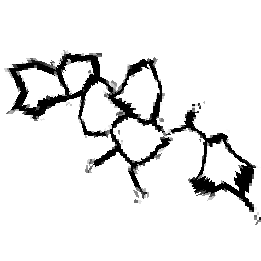 CCCC1CN(C(=O)c2ccc(C(C)=O)cc2)c2ccccc2N(Cc2c(C)ccc3ccccc23)C1=O